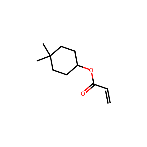 C=CC(=O)OC1CCC(C)(C)CC1